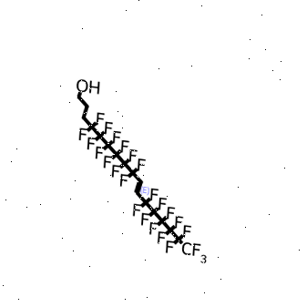 OCCCC(F)(F)C(F)(F)C(F)(F)C(F)(F)C(F)(F)C(F)(F)/C=C/C(F)(F)C(F)(F)C(F)(F)C(F)(F)C(F)(F)C(F)(F)F